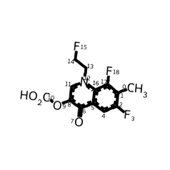 Cc1c(F)cc2c(=O)c(OC(=O)O)cn(CCF)c2c1F